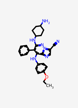 CCOc1ccc(Nc2c(-c3ccccc3)c(NC3CCC(N)CC3)nn3c(C#N)cnc23)cc1